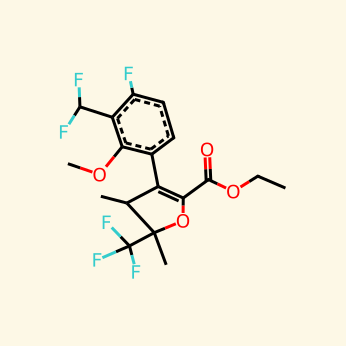 CCOC(=O)C1=C(c2ccc(F)c(C(F)F)c2OC)C(C)C(C)(C(F)(F)F)O1